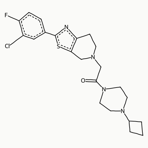 O=C(CN1CCc2nc(-c3ccc(F)c(Cl)c3)sc2C1)N1CCN(C2CCC2)CC1